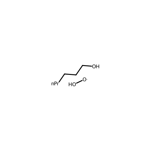 CCCCCCO.[O]O